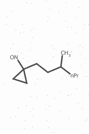 CCCC(C)CCC1(N=O)CC1